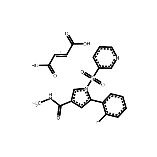 CNC(=O)c1cc(-c2ccccc2F)n(S(=O)(=O)c2cccnc2)c1.O=C(O)/C=C/C(=O)O